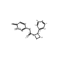 C=C1C=CC(CC(=O)N2CCC2c2ccccc2)=CN1